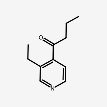 CCCC(=O)c1ccncc1CC